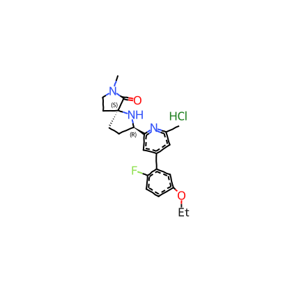 CCOc1ccc(F)c(-c2cc(C)nc([C@H]3CC[C@@]4(CCN(C)C4=O)N3)c2)c1.Cl